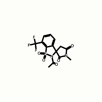 CC(=O)N1C2(CC(=O)N(C)C2=O)c2cccc(C(F)(F)F)c2S1(=O)=O